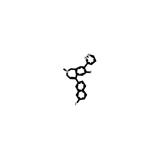 CN1CC=C(c2ccc3ccc(F)cc3c2)c2cc(F)c(-c3cccnn3)cc2C1